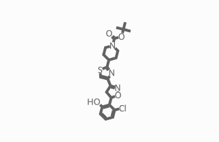 CC(C)(C)OC(=O)N1CCC(c2nc(C3=NOC(c4c(O)cccc4Cl)C3)cs2)CC1